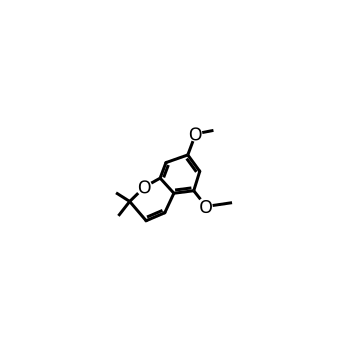 COc1cc(OC)c2c(c1)OC(C)(C)C=C2